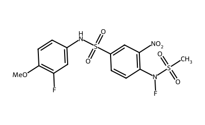 COc1ccc(NS(=O)(=O)c2ccc(N(F)S(C)(=O)=O)c([N+](=O)[O-])c2)cc1F